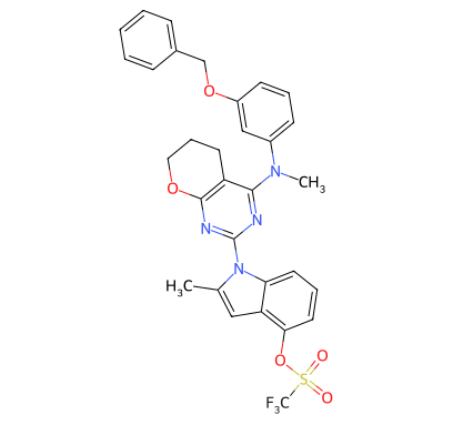 Cc1cc2c(OS(=O)(=O)C(F)(F)F)cccc2n1-c1nc2c(c(N(C)c3cccc(OCc4ccccc4)c3)n1)CCCO2